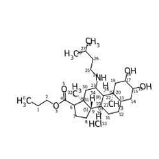 CCCOC(=O)C1CC[C@H]2[C@@H]3CCC4CC(O)C(O)C[C@]4(C)[C@@H]3C(NCCC(C)C)C[C@]12C.Cl